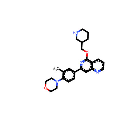 Cc1cc(-c2cc3ncccc3c(OCC3CCCNC3)n2)ccc1N1CCOCC1